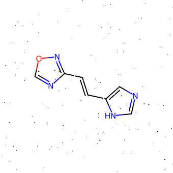 C(=Cc1cnc[nH]1)c1ncon1